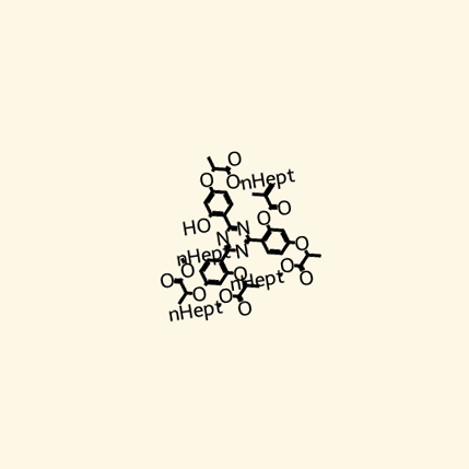 C=C(C)C(=O)Oc1cc(OC(C)C(=O)OCCCCCCC)ccc1-c1nc(-c2ccc(OC(C)C(=O)OCCCCCCC)cc2O)nc(-c2ccc(OC(C)C(=O)OCCCCCCC)cc2OC(C)C(=O)OCCCCCCC)n1